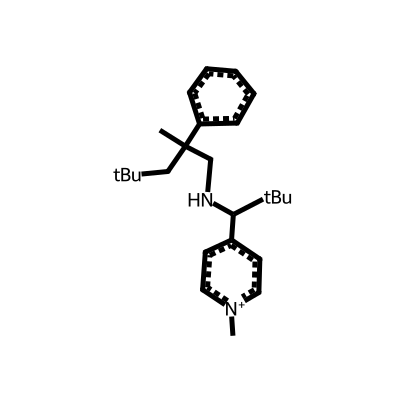 C[n+]1ccc(C(NCC(C)(CC(C)(C)C)c2ccccc2)C(C)(C)C)cc1